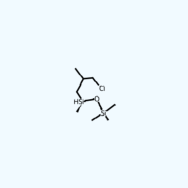 CC(CCl)C[Si@H](C)O[Si](C)(C)C